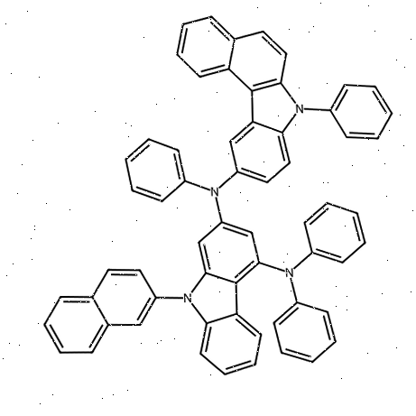 c1ccc(N(c2ccc3c(c2)c2c4ccccc4ccc2n3-c2ccccc2)c2cc(N(c3ccccc3)c3ccccc3)c3c4ccccc4n(-c4ccc5ccccc5c4)c3c2)cc1